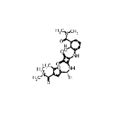 CC[C@@H](Nc1c(Nc2cccc(C(=O)N(C)C)c2O)c(=O)c1=O)c1cc(C(=O)N(C)C)c(C)o1